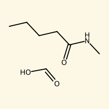 CCCCC(=O)NC.O=CO